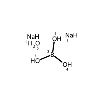 O.OB(O)O.[NaH].[NaH]